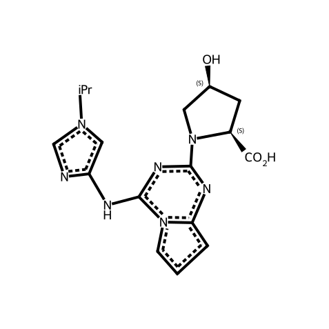 CC(C)n1cnc(Nc2nc(N3C[C@@H](O)C[C@H]3C(=O)O)nc3cccn23)c1